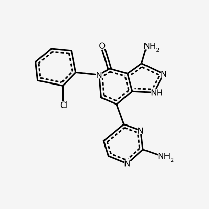 Nc1nccc(-c2cn(-c3ccccc3Cl)c(=O)c3c(N)n[nH]c23)n1